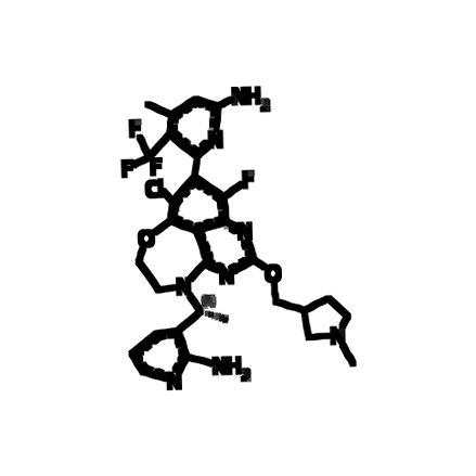 Cc1cc(N)nc(-c2c(Cl)c3c4c(nc(OCC5CCN(C)C5)nc4c2F)N([C@H](C)c2cccnc2N)CCO3)c1C(F)(F)F